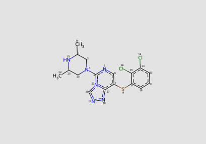 CC1CN(c2ncc(Sc3cccc(Cl)c3Cl)c3nncn23)CC(C)N1